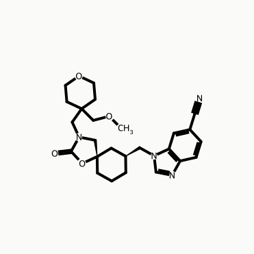 COCC1(CN2C[C@@]3(CCC[C@H](Cn4cnc5ccc(C#N)cc54)C3)OC2=O)CCOCC1